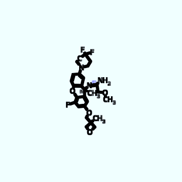 COC/C(N)=N\[C@@]1(C)c2cc(N3CCC(F)(F)CC3)ccc2Oc2c(F)cc(OCC3(C)COC3)cc21